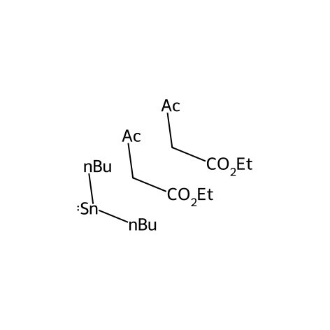 CCC[CH2][Sn][CH2]CCC.CCOC(=O)CC(C)=O.CCOC(=O)CC(C)=O